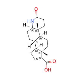 C[C@]12CCC(=O)N[C@@H]1CC[C@@H]1[C@@H]2CC[C@]2(C)C(C(=O)O)=CC[C@@H]12